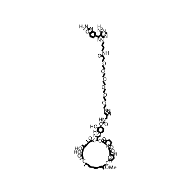 CO[C@H]1C[C@@H]2CC[C@@H](C)[C@@](O)(O2)C(=O)C(=O)N2CCCC[C@H]2C(=O)O[C@H]([C@H](N)C[C@@H]2CC[C@@H](OC(=O)NCc3cn(CCOCCOCCOCCOCCOCCOCCC(=O)NCCCCn4nc(-c5ccc6oc(N)nc6c5)c5c(N)ncnc54)nn3)[C@H](O)C2)CC(=O)[C@H](C)/C=C(\C)[C@@H](O)[C@@H](O)C(=O)[C@H](C)C[C@H](C)/C=C/C=C/C=C/1C